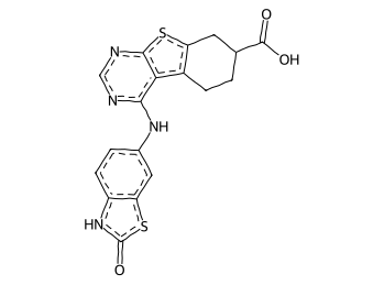 O=C(O)C1CCc2c(sc3ncnc(Nc4ccc5[nH]c(=O)sc5c4)c23)C1